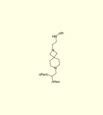 CCCCCCC(CCCCC)CN1CCC2(CC1)CN(CCNCCC)C2